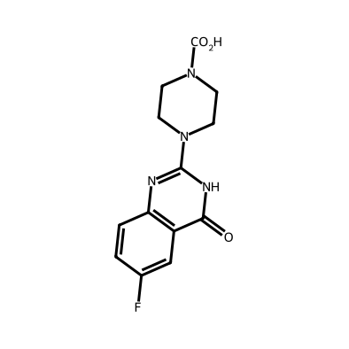 O=C(O)N1CCN(c2nc3ccc(F)cc3c(=O)[nH]2)CC1